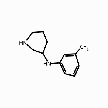 FC(F)(F)c1cccc(NC2CCCNC2)c1